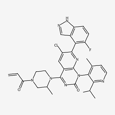 C=CC(=O)N1CCN(c2nc(=O)n(-c3c(C)ccnc3C(C)C)c3nc(-c4c(F)ccc5[nH]ncc45)c(Cl)cc23)C(C)C1